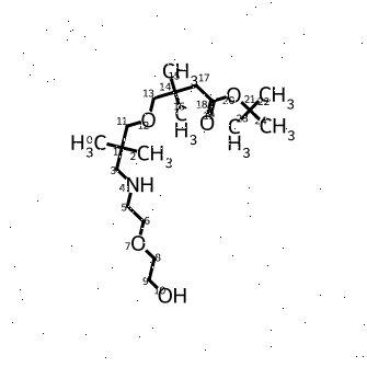 CC(C)(CNCCOCCO)COCC(C)(C)CC(=O)OC(C)(C)C